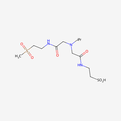 CC(C)N(CC(=O)NCCS(C)(=O)=O)CC(=O)NCCS(=O)(=O)O